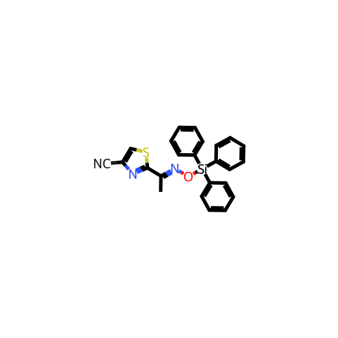 C/C(=N\O[Si](c1ccccc1)(c1ccccc1)c1ccccc1)c1nc(C#N)cs1